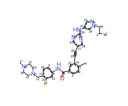 Cc1ccc(C(=O)Nc2ccc(CN3CCN(C)CC3)c(F)c2)cc1C#Cc1cnc(Nc2cnn(CCF)c2)nc1